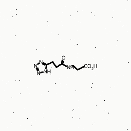 O=C(O)CCNC(=O)CCc1nnn[nH]1